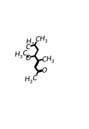 COC(CC(C)C)/C(C)=C/C(C)=O